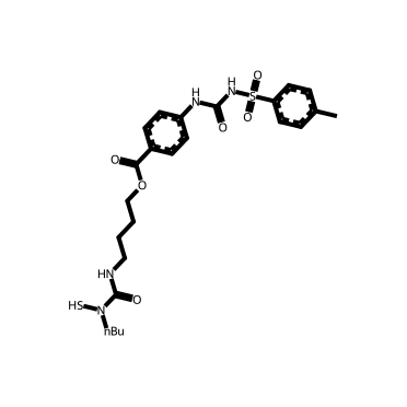 CCCCN(S)C(=O)NCCCCOC(=O)c1ccc(NC(=O)NS(=O)(=O)c2ccc(C)cc2)cc1